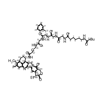 CCC(C)C(=O)NCCCCCC(=O)NCC(=O)NCC(=O)N[C@@H](Cc1ccccc1)C(=O)NCC(=O)NCOCC(=O)N[C@H]1CCc2c(C)c(F)cc3nc4c(c1c23)Cn1c-4cc2c(c1=O)COC(=O)[C@@H]2CC